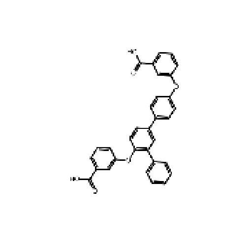 O=C(O)c1cccc(Oc2ccc(-c3ccc(Oc4cccc(C(=O)O)c4)c(-c4ccccc4)c3)cc2)c1